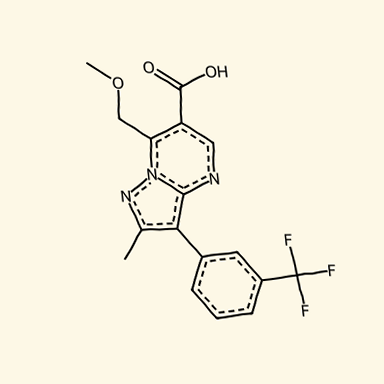 COCc1c(C(=O)O)cnc2c(-c3cccc(C(F)(F)F)c3)c(C)nn12